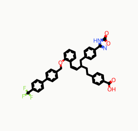 O=C(O)c1ccc(CCC(/C=C\c2ccccc2OCc2ccc(-c3ccc(C(F)(F)F)cc3)cc2)Cc2ccc(-c3noc(=O)[nH]3)cc2)cc1